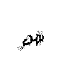 COc1cncc(C2=C[C@H]3NCC[C@H]3C2)c1